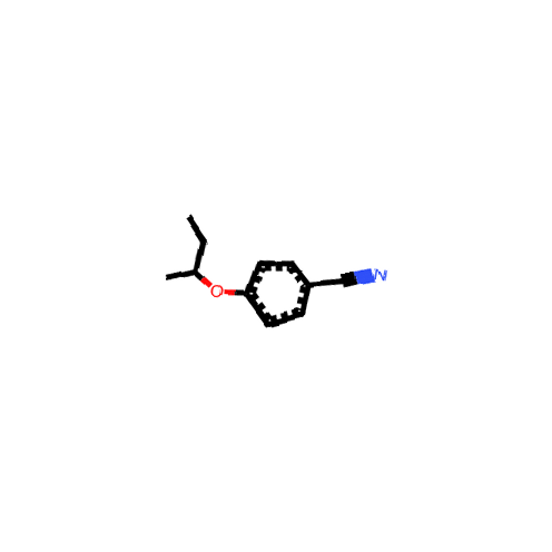 CCC(C)Oc1ccc(C#N)cc1